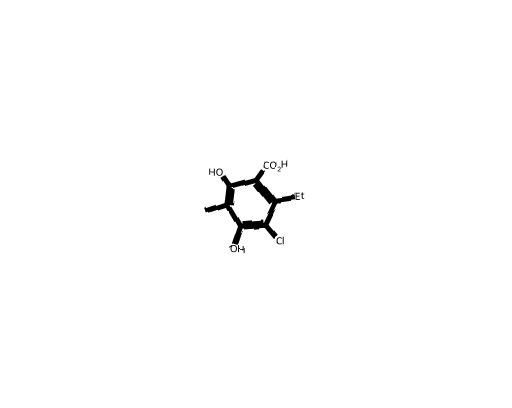 CCc1c(Cl)c(O)c(C)c(O)c1C(=O)O